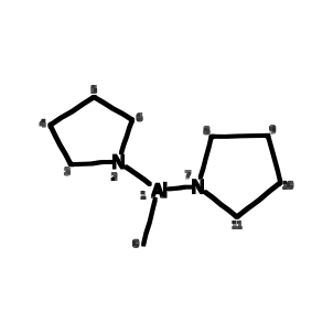 [CH3][Al]([N]1CCCC1)[N]1CCCC1